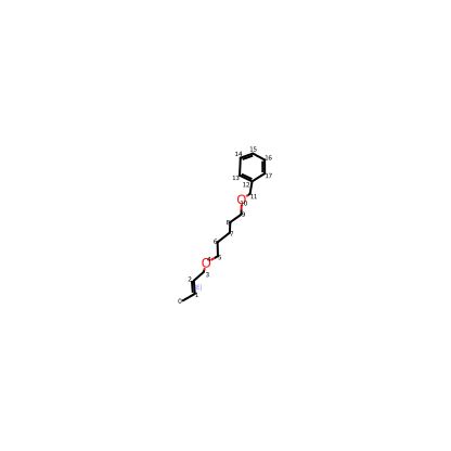 C/C=C/COCCCCCOCc1ccccc1